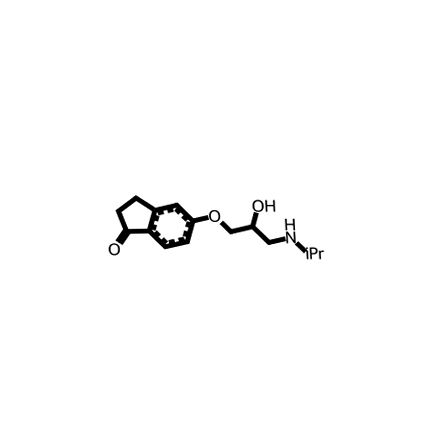 CC(C)NCC(O)COc1ccc2c(c1)CCC2=O